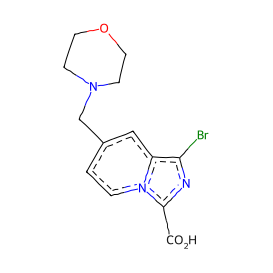 O=C(O)c1nc(Br)c2cc(CN3CCOCC3)ccn12